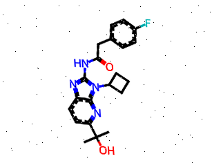 CC(C)(O)c1ccc2nc(NC(=O)Cc3ccc(F)cc3)n(C3CCC3)c2n1